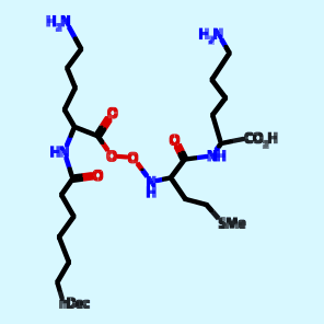 CCCCCCCCCCCCCCCC(=O)NC(CCCCN)C(=O)OONC(CCSC)C(=O)NC(CCCCN)C(=O)O